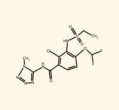 CCS(=O)(=O)Nc1c(OC(F)F)ccc(C(=O)Nc2nnnn2C)c1Cl